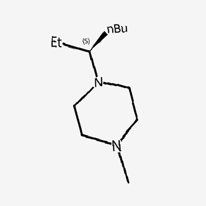 C[CH]CC[C@H](CC)N1CCN(C)CC1